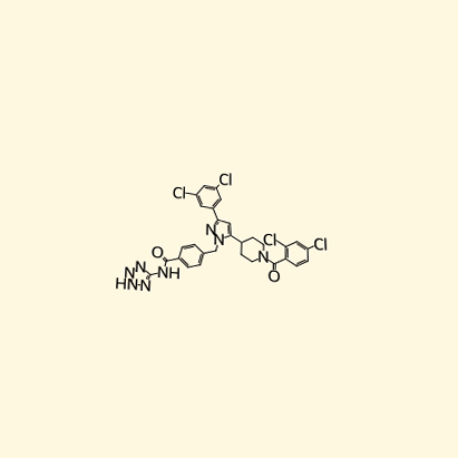 O=C(Nc1nn[nH]n1)c1ccc(Cn2nc(-c3cc(Cl)cc(Cl)c3)cc2C2CCN(C(=O)c3ccc(Cl)cc3Cl)CC2)cc1